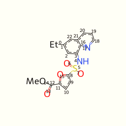 CCc1cc(NS(=O)(=O)c2ccc(C(=O)OC)o2)c2ncccc2c1